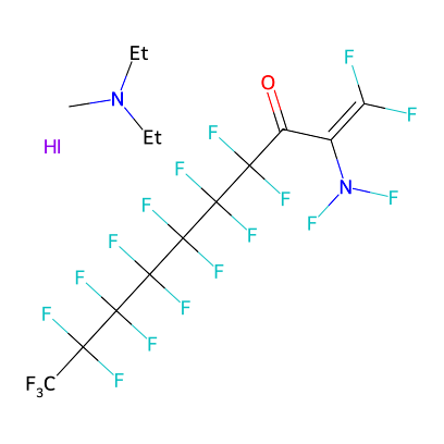 CCN(C)CC.I.O=C(C(=C(F)F)N(F)F)C(F)(F)C(F)(F)C(F)(F)C(F)(F)C(F)(F)C(F)(F)C(F)(F)F